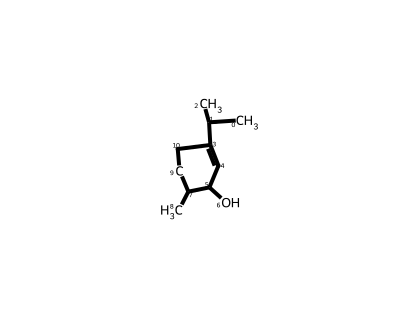 CC(C)C1=CC(O)C(C)CC1